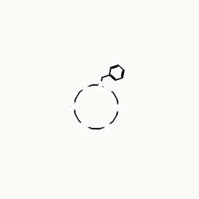 c1ccc(CN2COCCOCCOCCOCCOCCO2)cc1